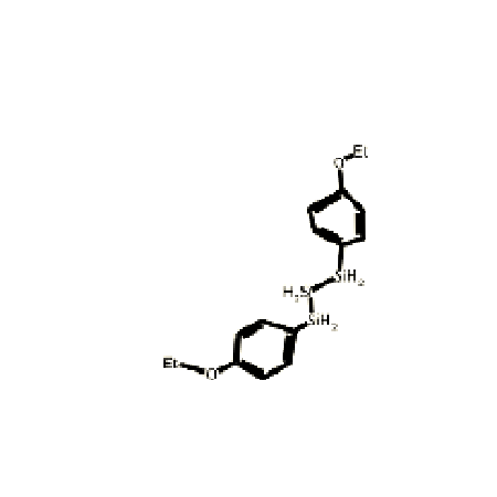 CCOc1ccc([SiH2][SiH2][SiH2]c2ccc(OCC)cc2)cc1